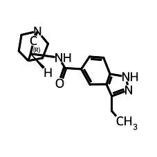 CCc1n[nH]c2ccc(C(=O)N[C@H]3CN4CCC3CC4)cc12